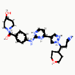 N#CCC(C1CCOCC1)n1cc(-c2ccnc(Nc3ccc(C(=O)N4CCC(O)CC4)cc3)n2)cn1